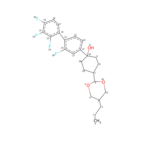 CCCC1COC(C2CCC(O)(c3ccc(-c4ccc(F)c(F)c4F)c(F)c3)CC2)OC1